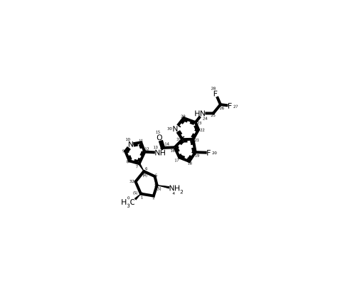 C[C@@H]1C[C@H](N)C[C@H](c2ccncc2NC(=O)c2ccc(F)c3cc(NCC(F)F)cnc23)C1